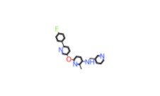 Cc1nc(Oc2ccc(-c3ccc(F)cc3)nc2)ccc1NCc1cccnc1